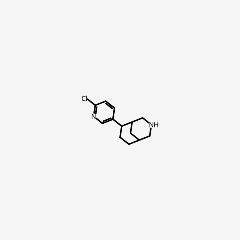 Clc1ccc(C2CCC3CNCC2C3)cn1